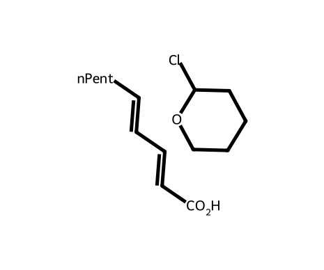 CCCCCC=CC=CC(=O)O.ClC1CCCCO1